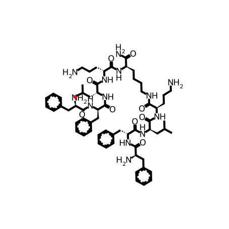 CC(C)C[C@@H](NC(=O)[C@@H](Cc1ccccc1)NC(=O)[C@H](N)Cc1ccccc1)C(=O)N[C@H](CCCN)C(=O)NCCCC[C@@H](NC(=O)[C@@H](CCCN)NC(=O)[C@@H](CC(C)C)NC(=O)[C@@H](Cc1ccccc1)NC(=O)[C@H](N)Cc1ccccc1)C(N)=O